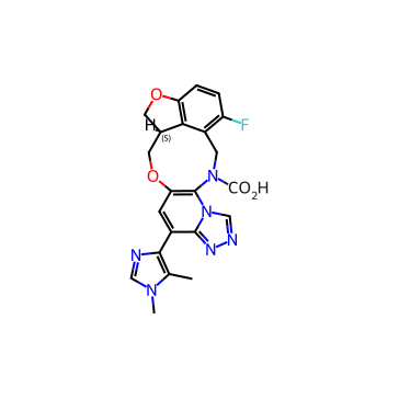 Cc1c(-c2cc3c(n4cnnc24)N(C(=O)O)Cc2c(F)ccc4c2[C@@H](CO4)CO3)ncn1C